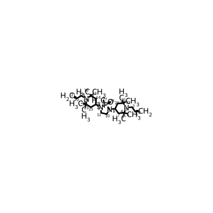 C=CCN1C(C)(C)CC(N2CCN(C3CC(C)(C)N(CC=C)C(C)(C)C3)P2(C)=O)CC1(C)C